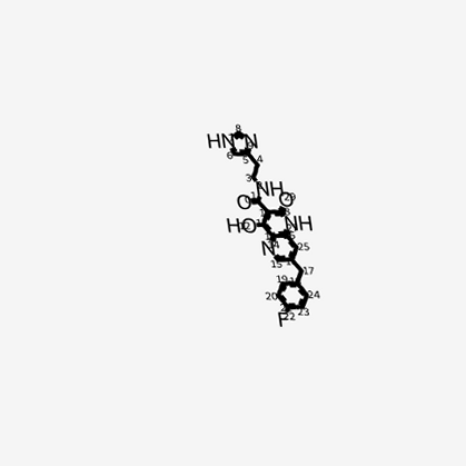 O=C(NCCc1c[nH]cn1)c1c(O)c2ncc(Cc3ccc(F)cc3)cc2[nH]c1=O